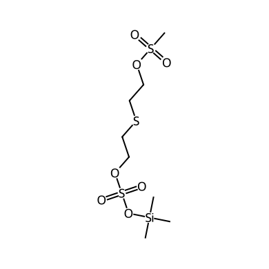 C[Si](C)(C)OS(=O)(=O)OCCSCCOS(C)(=O)=O